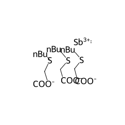 CCCCSCC(=O)[O-].CCCCSCC(=O)[O-].CCCCSCC(=O)[O-].[Sb+3]